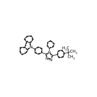 CC(C)(C)c1ccc(-c2nnc(-c3ccc(-n4c5ccccc5c5ccccc54)cc3)n2-c2ccccc2)cc1